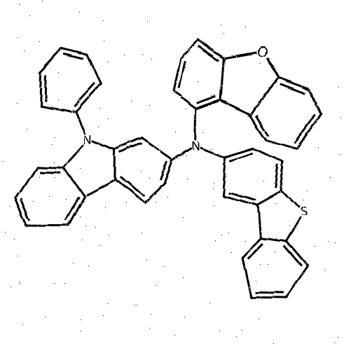 c1ccc(-n2c3ccccc3c3ccc(N(c4ccc5sc6ccccc6c5c4)c4cccc5oc6ccccc6c45)cc32)cc1